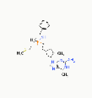 C=C1NC(N)=Nc2c1ncn2[C@@H]1CC(CCP(=C)(CCCSC)NCc2ccccc2)CC1C